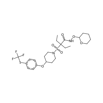 CCC(CC)(C(=O)NOC1CCCCO1)S(=O)(=O)N1CCC(Oc2ccc(SC(F)(F)F)cc2)CC1